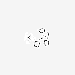 O=C(Oc1ccccc1C=C1c2ccccc2N2C=Cc3ccccc3C12)C(F)(F)F